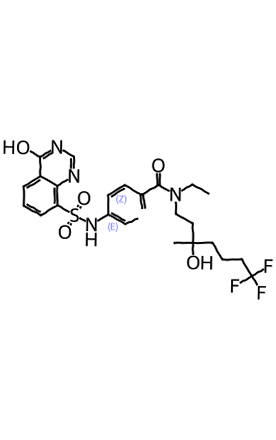 C=C(/C=C\C(=C/C)NS(=O)(=O)c1cccc2c(O)ncnc12)C(=O)N(CC)CCC(C)(O)CCCC(F)(F)F